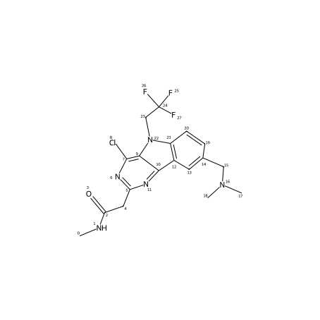 CNC(=O)Cc1nc(Cl)c2c(n1)c1cc(CN(C)C)ccc1n2CC(F)(F)F